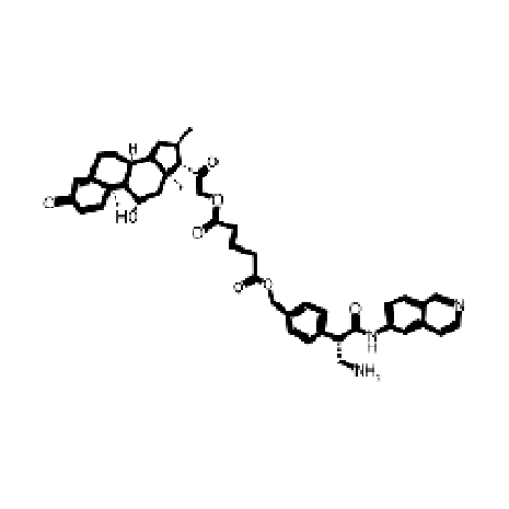 C[C@@H]1CC2[C@@H]3CCC4=CC(=O)C=C[C@]4(C)C3[C@@H](O)C[C@]2(C)[C@H]1C(=O)COC(=O)CCCC(=O)OCc1ccc([C@@H](CN)C(=O)Nc2ccc3cnccc3c2)cc1